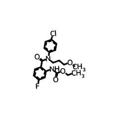 CCOC(=O)Nc1cc(F)ccc1C(=O)N(CCCOC)c1ccc(Cl)cc1